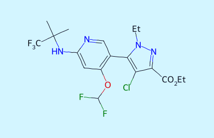 CCOC(=O)c1nn(CC)c(-c2cnc(NC(C)(C)C(F)(F)F)cc2OC(F)F)c1Cl